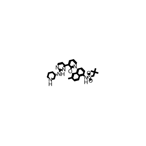 Cc1ccc2c(NS(=O)(=O)CC(C)(C)C)cccc2c1Oc1ncccc1-c1ccnc(N[C@H]2CCCNC2)n1